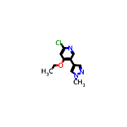 CCOc1cc(Cl)ncc1-c1cnn(C)c1